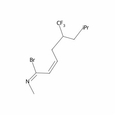 C/N=C(Br)\C=C/CC(CC(C)C)C(F)(F)F